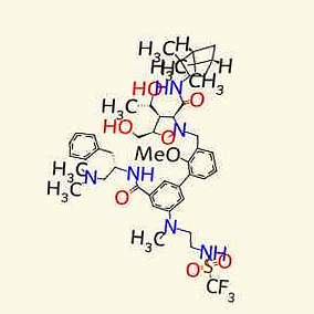 COc1c(CN2O[C@@H](CO)[C@@H]([C@H](C)O)[C@H]2C(=O)NC2C[C@H]3C[C@@H]([C@@H]2C)C3(C)C)cccc1-c1cc(C(=O)N[C@@H](Cc2ccccc2)CN(C)C)cc(N(C)CCNS(=O)(=O)C(F)(F)F)c1